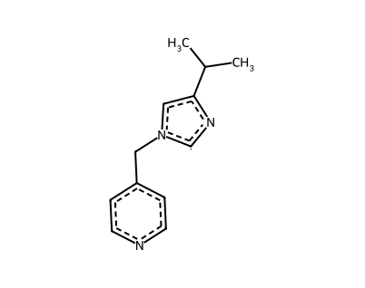 CC(C)c1cn(Cc2ccncc2)[c]n1